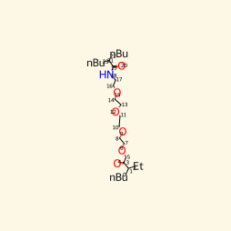 CCCCC(CC)C(=O)COCCOCCOCCOCCNC(=O)C(CCCC)CCCC